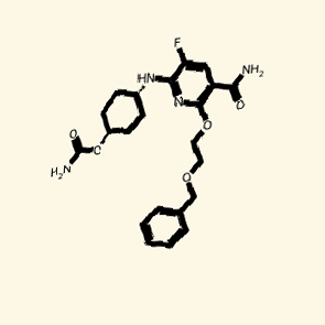 NC(=O)O[C@H]1CC[C@H](Nc2nc(OCCOCc3ccccc3)c(C(N)=O)cc2F)CC1